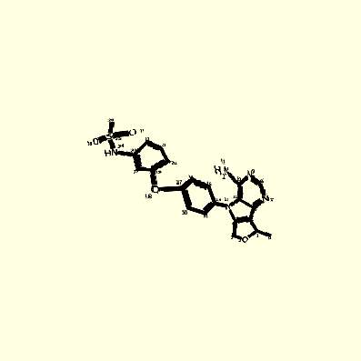 CC1OCc2c1c1ncnc(N)c1n2-c1ccc(Oc2cccc(NS(C)(=O)=O)c2)cc1